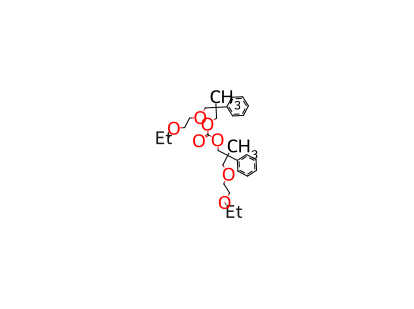 CCOCCOCC(C)(COC(=O)OCC(C)(COCCOCC)c1ccccc1)c1ccccc1